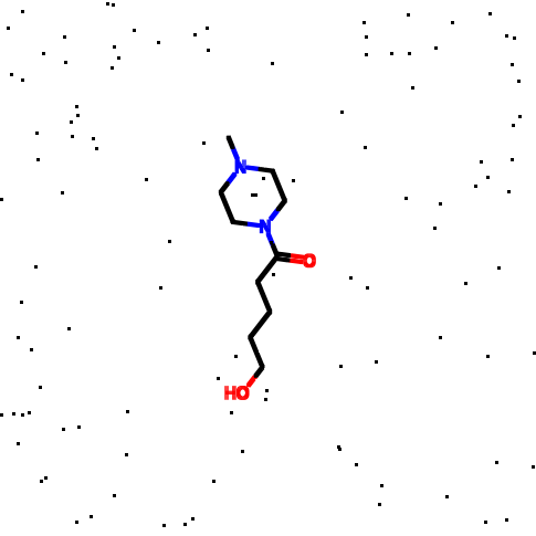 CN1CCN(C(=O)CCCCO)CC1